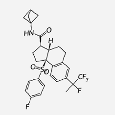 CC(F)(c1ccc2c(c1)CC[C@H]1[C@H](C(=O)NC34CC(C3)C4)CC[C@@]21S(=O)(=O)c1ccc(F)cc1)C(F)(F)F